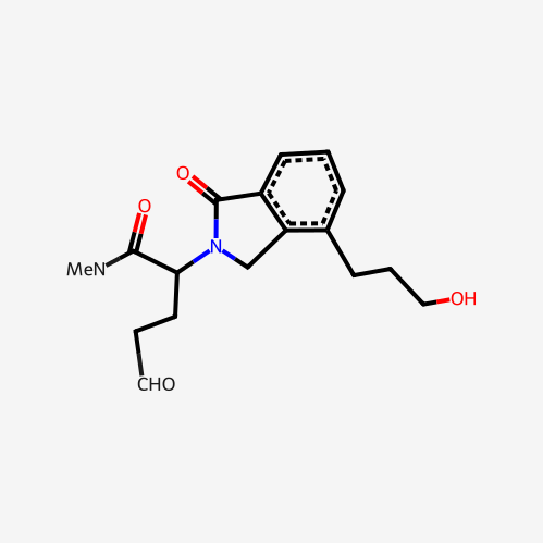 CNC(=O)C(CCC=O)N1Cc2c(CCCO)cccc2C1=O